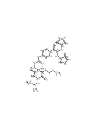 CCCCN1C(=O)[C@H](CC(C)C)NC(=O)C12CCN(Cc1ccc(C(=O)N(Cc3ncc[nH]3)Cc3ncc[nH]3)cc1)CC2